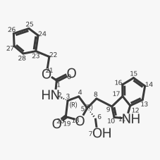 O=C(N[C@@H]1C[C@@](CO)(Cc2c[nH]c3ccccc23)OC1=O)OCc1ccccc1